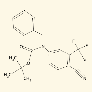 CC(C)(C)OC(=O)N(Cc1ccccc1)c1ccc(C#N)c(C(F)(F)F)c1